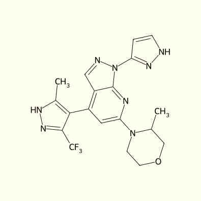 Cc1[nH]nc(C(F)(F)F)c1-c1cc(N2CCOCC2C)nc2c1cnn2-c1cc[nH]n1